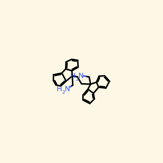 NCC1(CCC2(CN)c3ccccc3-c3ccccc32)c2ccccc2-c2ccccc21